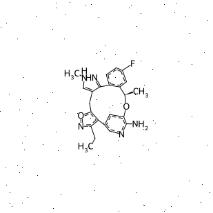 CCc1noc2c1-c1cnc(N)c(c1)O[C@H](C)c1cc(F)ccc1C(=N)/C(=C\NC)C2